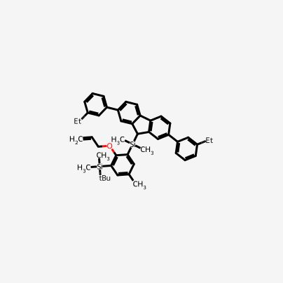 C=CCOc1c([Si](C)(C)C2c3cc(-c4cccc(CC)c4)ccc3-c3ccc(-c4cccc(CC)c4)cc32)cc(C)cc1[Si](C)(C)C(C)(C)C